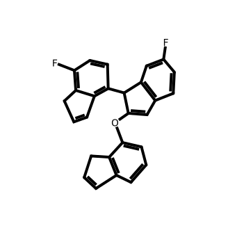 Fc1ccc2c(c1)C(c1ccc(F)c3c1C=CC3)C(Oc1cccc3c1CC=C3)=C2